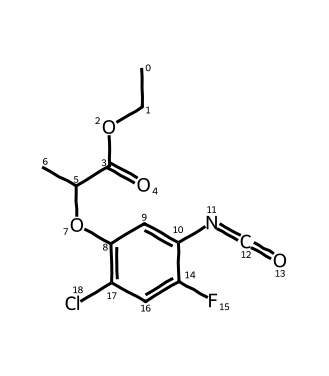 CCOC(=O)C(C)Oc1cc(N=C=O)c(F)cc1Cl